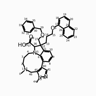 CN1CCCN2c3c(cccc3C(CCCOc3cccc4ccccc34)(COCc3ccccc3)C2C(=O)O)-c2cnn(C)c2C1